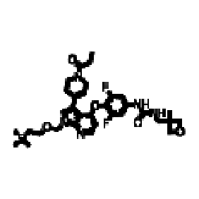 CCC(=O)N1CC=C(c2cn(COCC[Si](C)(C)C)c3nccc(Oc4c(F)cc(NC(=O)NCC5(C)COC5)cc4F)c23)CC1